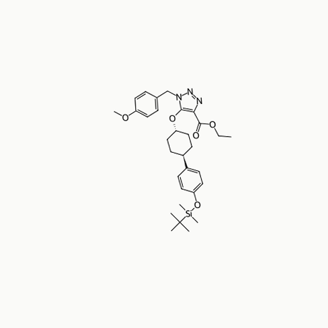 CCOC(=O)c1nnn(Cc2ccc(OC)cc2)c1O[C@H]1CC[C@H](c2ccc(O[Si](C)(C)C(C)(C)C)cc2)CC1